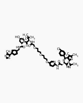 Cc1ncsc1-c1ccc(CNC(=O)[C@@H]2C[C@@H](O)CN2C(=O)[C@@H](NC(=O)COCCCOCCCOc2ccc(NC(=O)C[C@@H]3N=C(c4ccc(Cl)cc4)c4c(sc(C)c4C)-n4c(C)nnc43)nc2)C(C)(C)C)cc1